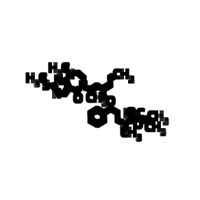 C=C/C=C(\C=C(/C)N1CCN(C)c2nc(SC)ncc2C1=O)COC(CCN(C)C(=O)OC(C)(C)C)c1ccccc1